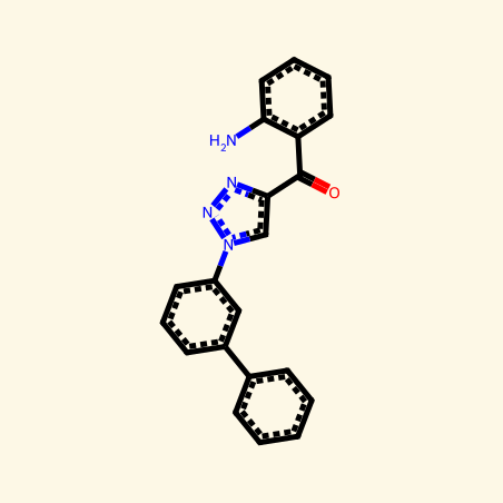 Nc1ccccc1C(=O)c1cn(-c2cccc(-c3ccccc3)c2)nn1